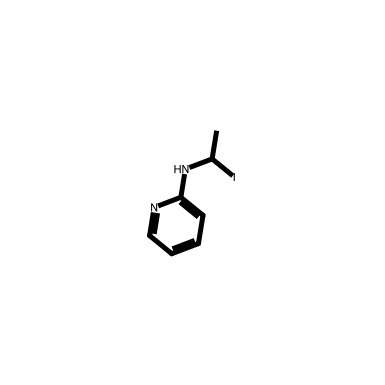 CC(I)Nc1ccccn1